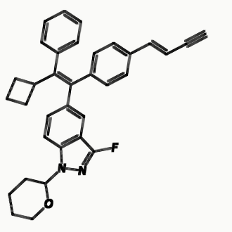 C#C/C=C/c1ccc(/C(=C(\c2ccccc2)C2CCC2)c2ccc3c(c2)c(F)nn3C2CCCCO2)cc1